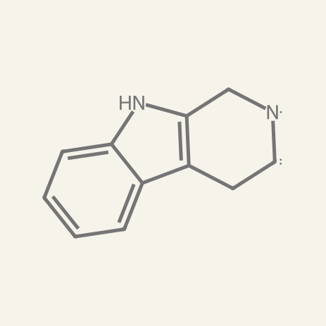 [C]1Cc2c([nH]c3ccccc23)C[N]1